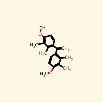 C=C(c1ccc(OC)c(C)c1C)c1ccc(OC)c(C)c1C